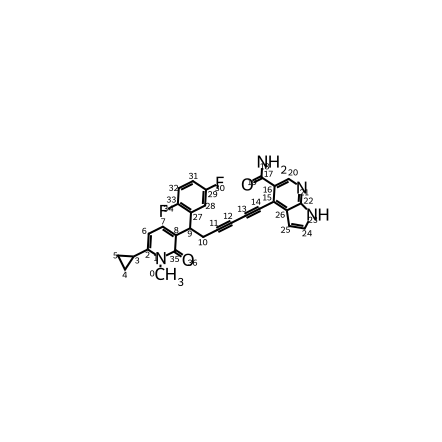 Cn1c(C2CC2)ccc(C(CC#CC#Cc2c(C(N)=O)cnc3[nH]ccc23)c2cc(F)ccc2F)c1=O